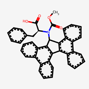 COC(=O)N(C1c2c(c3ccccc3c3ccccc23)-c2c1c1ccccc1c1ccccc21)[C@@H](Cc1ccccc1)C(=O)O